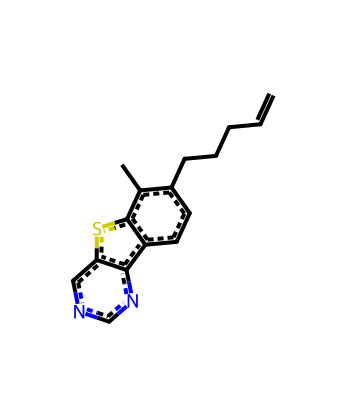 C=CCCCc1ccc2c(sc3cncnc32)c1C